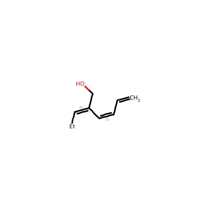 C=C/C=C\C(=C/CC)CO